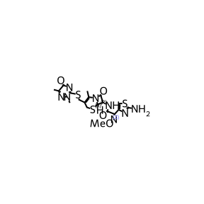 CO/N=C(\C(=O)N[C@@H]1C(=O)N2C(C)=C(CSc3nc(=O)c(C)nn3C)CS[C@H]12)c1csc(N)n1